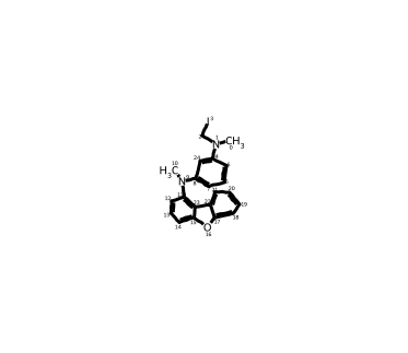 CN(CI)c1cccc(N(C)c2cccc3oc4ccccc4c23)c1